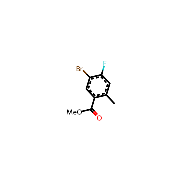 COC(=O)c1cc(Br)c(F)cc1C